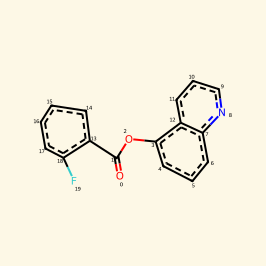 O=C(Oc1cccc2ncccc12)c1ccccc1F